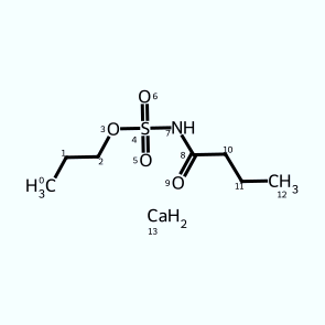 CCCOS(=O)(=O)NC(=O)CCC.[CaH2]